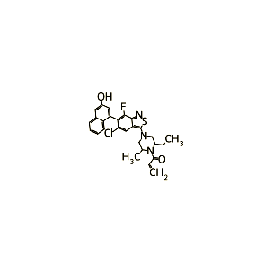 C=CC(=O)N1C(C)CN(c2snc3c(F)c(-c4cc(O)cc5ccccc45)c(Cl)cc23)CC1CC